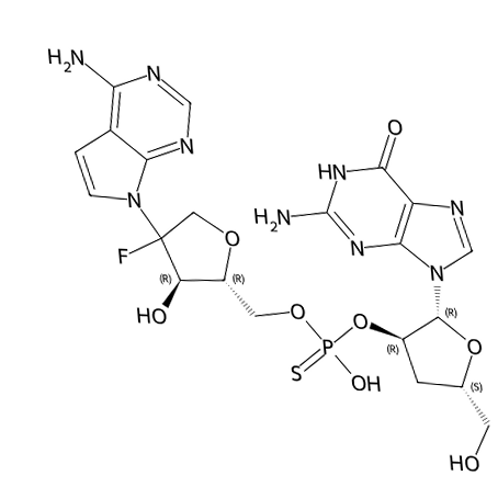 Nc1nc2c(ncn2[C@@H]2O[C@H](CO)C[C@H]2OP(O)(=S)OC[C@H]2OCC(F)(n3ccc4c(N)ncnc43)[C@@H]2O)c(=O)[nH]1